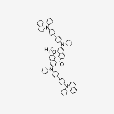 COc1ccc2cc(N(c3ccccc3)c3ccc(-c4ccc(N(c5ccccc5)c5cccc6ccccc56)cc4)cc3)ccc2c1-c1c(C=O)ccc2cc(N(c3ccccc3)c3ccc(-c4ccc(N(c5ccccc5)c5cccc6ccccc56)cc4)cc3)ccc12